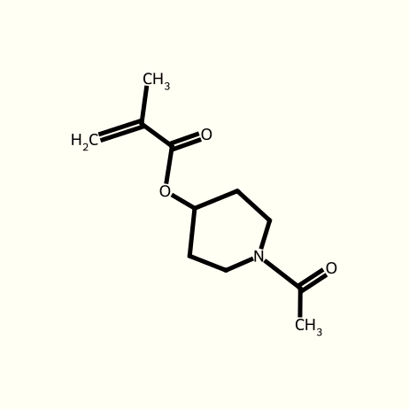 C=C(C)C(=O)OC1CCN(C(C)=O)CC1